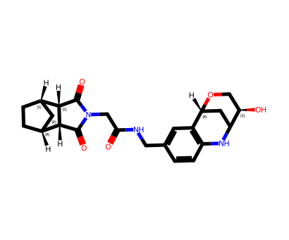 O=C(CN1C(=O)[C@@H]2[C@@H]3CC[C@@H](C3)[C@@H]2C1=O)NCc1ccc2c(c1)[C@H]1CC(N2)[C@H](O)CO1